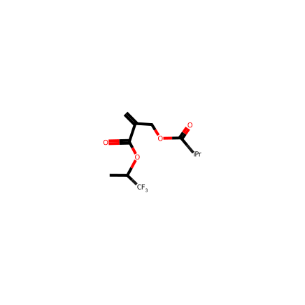 C=C(COC(=O)C(C)C)C(=O)OC(C)C(F)(F)F